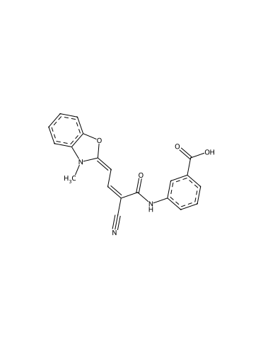 CN1C(=CC=C(C#N)C(=O)Nc2cccc(C(=O)O)c2)Oc2ccccc21